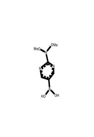 CON(OC)c1ncc(B(O)O)cn1